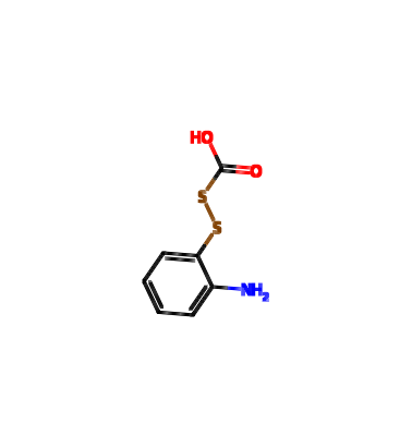 Nc1ccccc1SSC(=O)O